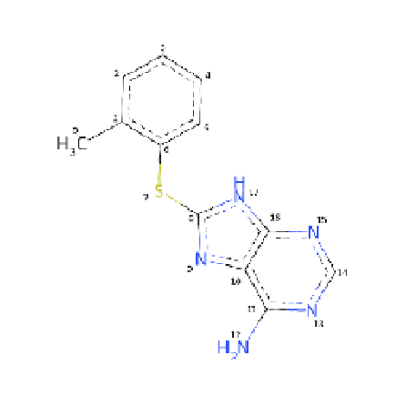 Cc1ccccc1Sc1nc2c(N)ncnc2[nH]1